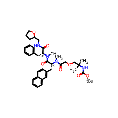 CN(C(=O)COCC(C)(C)NC(=O)OC(C)(C)C)[C@H](Cc1ccc2ccccc2c1)C(=O)N(C)[C@H](Cc1ccccc1)C(=O)NCC1CCCO1